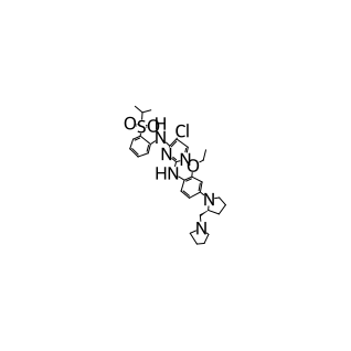 CCOc1cc(N2CCC[C@H]2CN2CCCC2)ccc1Nc1ncc(Cl)c(Nc2ccccc2S(=O)(=O)C(C)C)n1